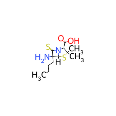 CCCC[C@]1(N)C(=S)N2[C@@H](C(=O)O)C(C)(C)S[C@@H]21